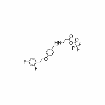 O=C(CCNCCc1ccc(OCCc2ccc(F)cc2F)cc1)OC(=O)C(F)(F)F